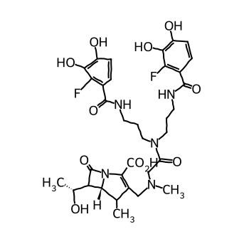 CC1C(CN(C)CC(=O)N(CCCNC(=O)c2ccc(O)c(O)c2F)CCCNC(=O)c2ccc(O)c(O)c2F)=C(C(=O)O)N2C(=O)C([C@@H](C)O)[C@@H]12